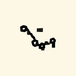 Cl.c1ccc(COCCCC2CCCN(c3cncc(OC[C@@H]4CCCN4)c3)C2)cc1